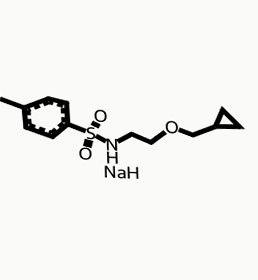 O=S(=O)(NCCOCC1CC1)c1ccc(I)cc1.[NaH]